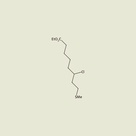 CCOC(=O)CCCCC(Cl)CCSC